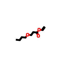 C=COC(=O)CCOCCCC